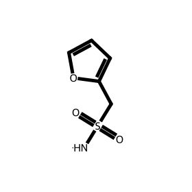 [NH]S(=O)(=O)Cc1ccco1